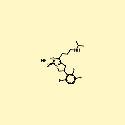 CC(C)NCCCc1[nH]c(=S)n2c1CC(c1c(F)ccc(F)c1F)C2.F